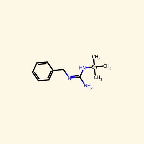 [CH3][Sn]([CH3])([CH3])[NH]C(N)=NCc1ccccc1